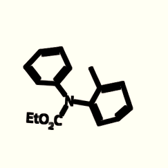 C[CH]OC(=O)N(c1ccccc1)c1ccccc1C